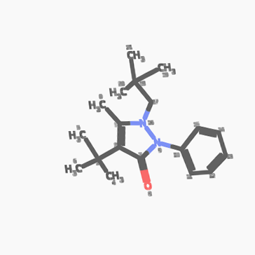 Cc1c(C(C)(C)C)c(=O)n(-c2ccccc2)n1CC(C)(C)C